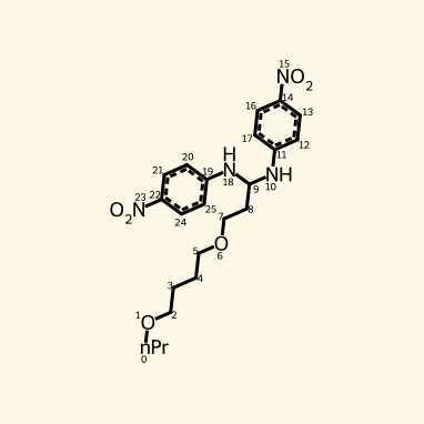 CCCOCCCCOCCC(Nc1ccc([N+](=O)[O-])cc1)Nc1ccc([N+](=O)[O-])cc1